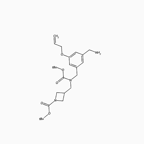 C=CCOc1cc(CN)cc(CN(CC2CN(C(=O)OC(C)(C)C)C2)C(=O)OC(C)(C)C)c1